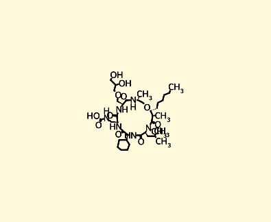 CCCCCC[C@H]1OC[C@@H](C)NC(=O)[C@H](COCC(O)CO)NC(=O)[C@H](CNC(=O)O)NC(=O)[C@H](C2CCCCC2)NC(=O)[C@H](CC(C)C)N(C)C(=O)[C@@H]1C